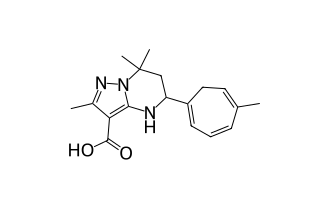 CC1=CCC(C2CC(C)(C)n3nc(C)c(C(=O)O)c3N2)=CC=C1